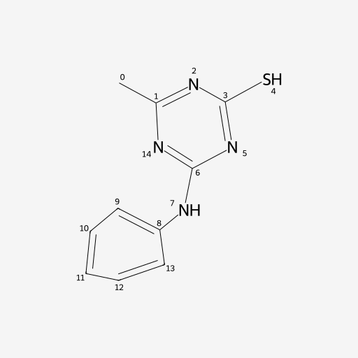 Cc1nc(S)nc(Nc2ccccc2)n1